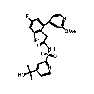 COc1cc(-c2cc(F)cc(C(C)C)c2CC(=O)NS(=O)(=O)c2cc(C(C)(C)O)ccn2)ccn1